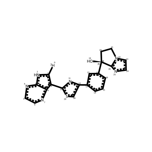 [2H]c1[nH]c2nccnc2c1-c1nc(-c2cccc([C@]3(O)CCn4ccnc43)c2)cs1